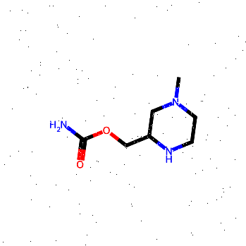 CN1CCNC(COC(N)=O)C1